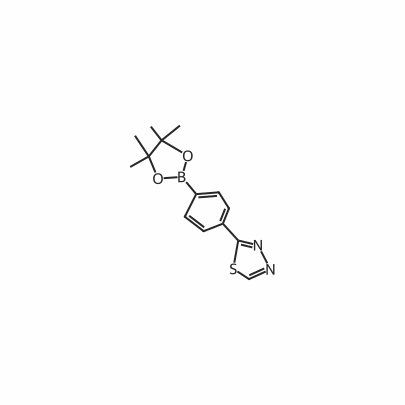 CC1(C)OB(c2ccc(-c3nncs3)cc2)OC1(C)C